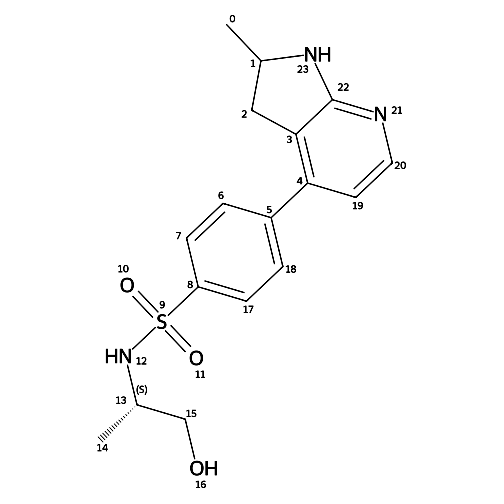 CC1Cc2c(-c3ccc(S(=O)(=O)N[C@@H](C)CO)cc3)ccnc2N1